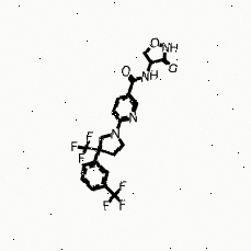 O=C(NC1CONC1=O)c1ccc(N2CCC(c3cccc(C(F)(F)F)c3)(C(F)(F)F)C2)nc1